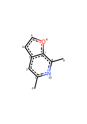 Cc1cc2ccoc2c(C)n1